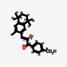 Cc1cc2c(cc1/C=C(\Br)C(=O)c1ccc(C(=O)O)cc1)C(C)(C)CCC2(C)C